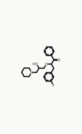 O=C(c1ccccc1)C(Cc1cccc(F)c1)OCC(O)CN1CCCCC1